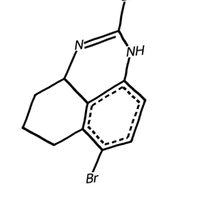 BrC1=NC2CCCc3c(Br)ccc(c32)N1